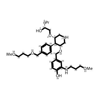 CCC[C@@H](O)CO[C@@H]1CNC[C@H](OCc2ccc(O)c(NCCCOC)c2)[C@H]1c1ccc(COCCCOC)cc1